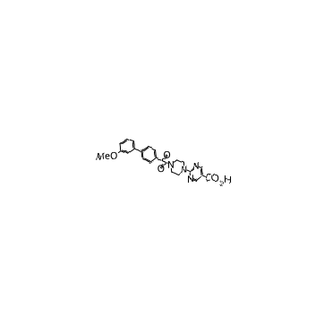 COc1cccc(-c2ccc(S(=O)(=O)N3CCN(c4ncc(C(=O)O)cn4)CC3)cc2)c1